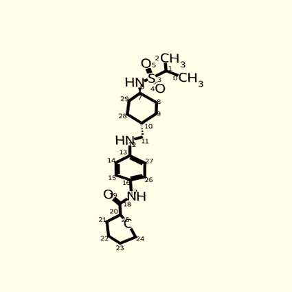 CC(C)S(=O)(=O)N[C@H]1CC[C@H](CNc2ccc(NC(=O)C3CCCCC3)cc2)CC1